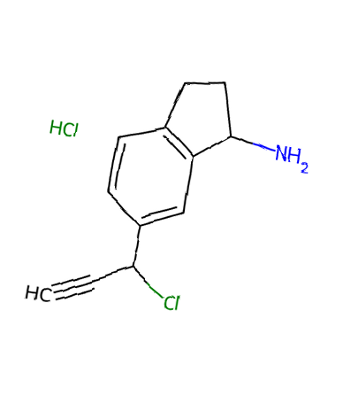 C#CC(Cl)c1ccc2c(c1)C(N)CC2.Cl